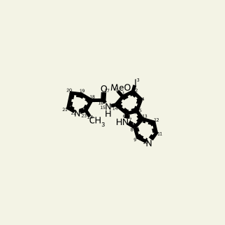 COc1c(I)cc2c([nH]c3cnccc32)c1NC(=O)c1cccnc1C